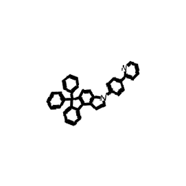 c1ccc(C2(c3ccccc3)c3ccccc3-c3c2ccc2c3ccn2-c2ccc(-c3ccccn3)cc2)cc1